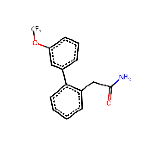 NC(=O)Cc1ccccc1-c1cccc(OC(F)(F)F)c1